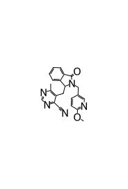 COc1ccc(CN2C(=O)c3ccccc3C2Cc2c(C)ncnc2C#N)cn1